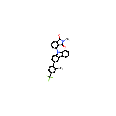 Cc1cc(C(F)(F)F)ccc1-c1ccc2c(c1)c1ccccc1n2-c1cccc2c1C(=O)N(C)C2=O